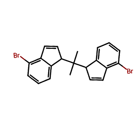 CC(C)(C1C=Cc2c(Br)cccc21)C1C=Cc2c(Br)cccc21